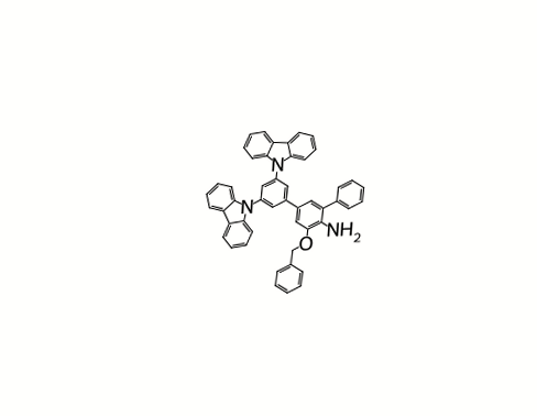 Nc1c(OCc2ccccc2)cc(-c2cc(-n3c4ccccc4c4ccccc43)cc(-n3c4ccccc4c4ccccc43)c2)cc1-c1ccccc1